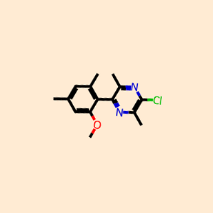 COc1cc(C)cc(C)c1-c1nc(C)c(Cl)nc1C